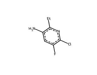 CCc1nc(Cl)c(F)cc1N